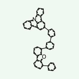 c1ccc(-c2cccc3c2oc2c(-c4cccc(-c5cccc(-c6cc7c8ccccc8n8c9ccccc9c(c6)c78)c5)c4)cccc23)cc1